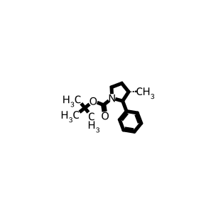 C[C@H]1CCN(C(=O)OC(C)(C)C)C1c1ccccc1